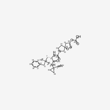 N#CC1(NC(=O)[C@H](CC(F)(F)Cc2ccccc2)NC(=O)N2CCC3(CC(OC(=O)O)=NO3)C2)CC1